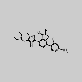 CCN(CC)Cc1[nH]c(-c2ccc(-c3ccc(N)cc3F)c3c2C(=O)NC3)nc1C